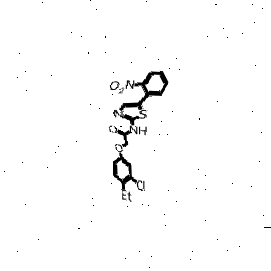 CCc1ccc(OCC(=O)Nc2ncc(-c3ccccc3[N+](=O)[O-])s2)cc1Cl